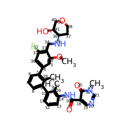 COc1cc(-c2cccc(-c3cccc(NC(=O)c4cncn(C)c4=O)c3C)c2C)cc(F)c1CN[C@@H]1CCOC[C@@H]1O